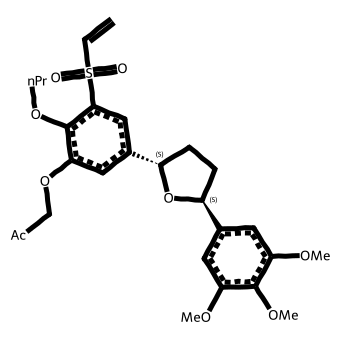 C=CS(=O)(=O)c1cc([C@@H]2CC[C@@H](c3cc(OC)c(OC)c(OC)c3)O2)cc(OCC(C)=O)c1OCCC